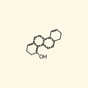 OC1=c2c(ccc3c4c(ccc23)CCC=C4)=CCC1